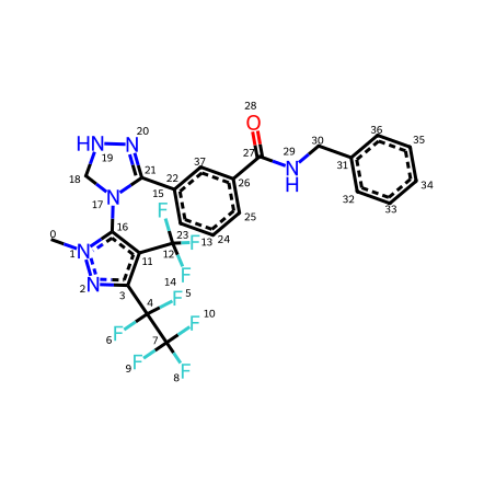 Cn1nc(C(F)(F)C(F)(F)F)c(C(F)(F)F)c1N1CNN=C1c1cccc(C(=O)NCc2ccccc2)c1